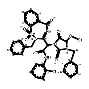 CCOC1C(=O)N(C(C(=O)Nc2ccccc2Cl)C2=NC(=O)c3ccccc3S(=O)(=O)N2Cc2ccccc2)C(=O)N1Cc1ccccc1